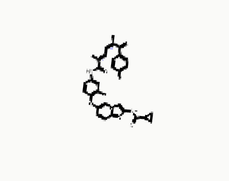 C=C(/C(C)=C\C=C(/C)C(=O)Nc1ccc(Oc2ccc3nc(NC(=O)C4CC4)cn3c2)c(F)c1)c1ccc(F)cc1